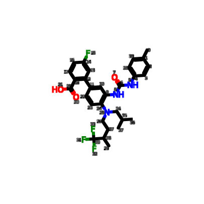 Cc1ccc(NC(=O)Nc2cc(-c3cc(F)ccc3C(=O)O)ccc2N(CCC(C)C(F)(F)F)CC(C)C)cc1